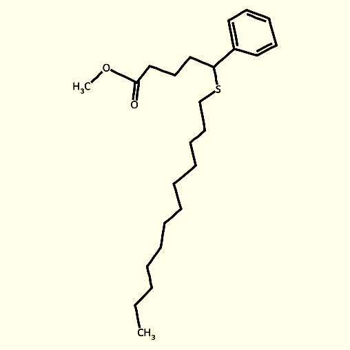 CCCCCCCCCCCCSC(CCCC(=O)OC)c1ccccc1